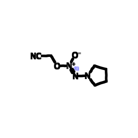 N#CCO/[N+]([O-])=N/N1CCCC1